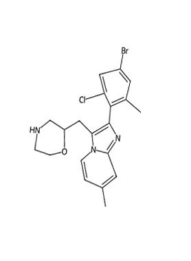 Cc1ccn2c(CC3CNCCO3)c(-c3c(C)cc(Br)cc3Cl)nc2c1